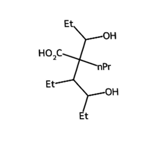 CCCC(C(=O)O)(C(O)CC)C(CC)C(O)CC